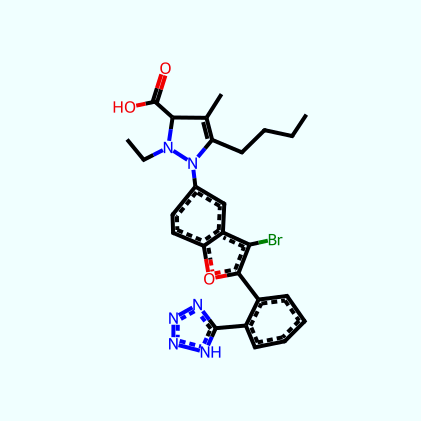 CCCCC1=C(C)C(C(=O)O)N(CC)N1c1ccc2oc(-c3ccccc3-c3nnn[nH]3)c(Br)c2c1